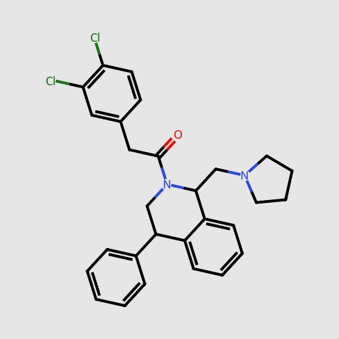 O=C(Cc1ccc(Cl)c(Cl)c1)N1CC(c2ccccc2)c2ccccc2C1CN1CCCC1